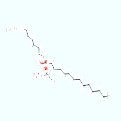 CCCCCCCCCCCCCCCCOS(=O)(=O)CCCCCCCCCCCCF.CNC